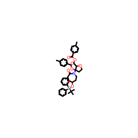 Cc1ccc(C(=O)OCC2OCCC2(OC(=O)c2ccc(C)cc2)N2CCC(O[Si](c3ccccc3)(c3ccccc3)C(C)(C)C)CCC2=O)cc1